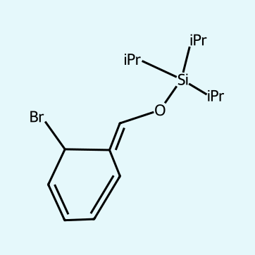 CC(C)[Si](OC=C1C=CC=CC1Br)(C(C)C)C(C)C